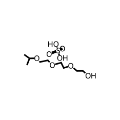 CC(C)OCCOCCOCCO.O=S(=O)(O)O